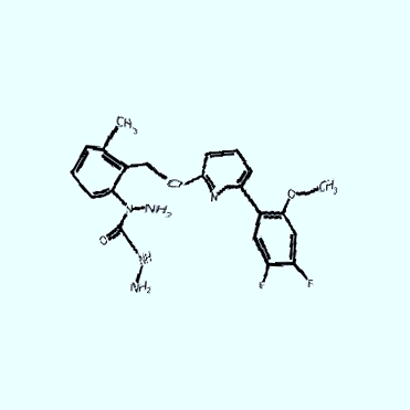 COc1cc(F)c(F)cc1-c1cccc(OCc2c(C)cccc2N(N)C(=O)NN)n1